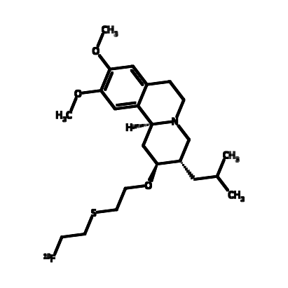 COc1cc2c(cc1OC)[C@@H]1C[C@H](OCCSCC[19F])[C@@H](CC(C)C)CN1CC2